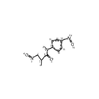 CC(CN=O)C(=O)N(C)c1ccc(N=O)cc1